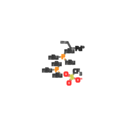 C=C[CH2][Pd+].CCCCP(CCCC)CCCC.CCCCP(CCCC)CCCC.O=S(=O)([O-])C(F)(F)F